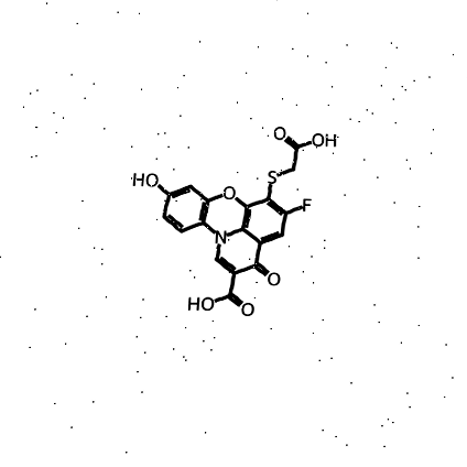 O=C(O)CSc1c(F)cc2c(=O)c(C(=O)O)cn3c2c1Oc1cc(O)ccc1-3